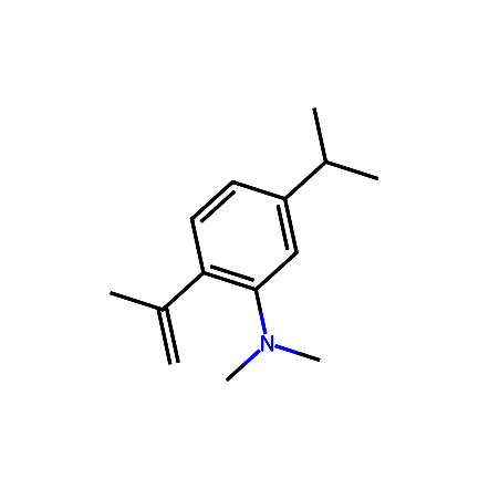 C=C(C)c1ccc(C(C)C)cc1N(C)C